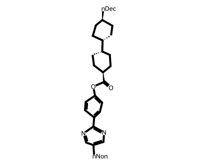 CCCCCCCCCC[C@H]1CC[C@H]([C@H]2CC[C@H](C(=O)Oc3ccc(-c4ncc(CCCCCCCCC)cn4)cc3)CC2)CC1